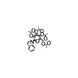 CC(=O)OC[C@H]1O[C@@H](n2ccc3ccccc32)[C@H](OC(C)=O)[C@@H](OC(C)=O)[C@@H]1OC(C)=O